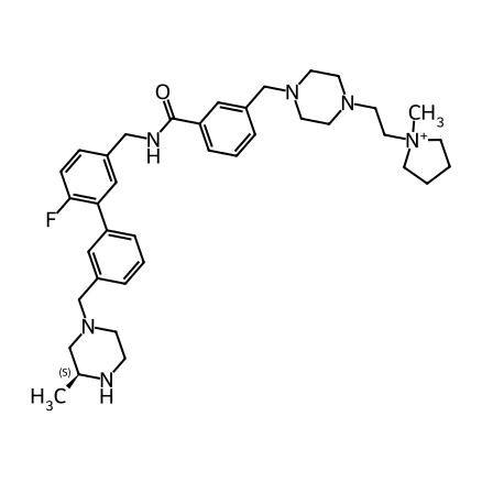 C[C@H]1CN(Cc2cccc(-c3cc(CNC(=O)c4cccc(CN5CCN(CC[N+]6(C)CCCC6)CC5)c4)ccc3F)c2)CCN1